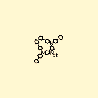 CCn1c2ccc(N(c3ccc(-c4ccccc4)cc3)c3ccc(-c4ccccc4)cc3)cc2c2cc(N(c3ccc(-c4ccccc4)cc3)c3ccc(-c4ccccc4)cc3)ccc21